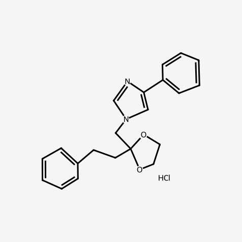 Cl.c1ccc(CCC2(Cn3cnc(-c4ccccc4)c3)OCCO2)cc1